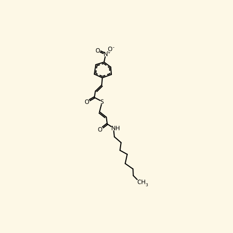 CCCCCCCCNC(=O)C=CSC(=O)C=Cc1ccc([N+](=O)[O-])cc1